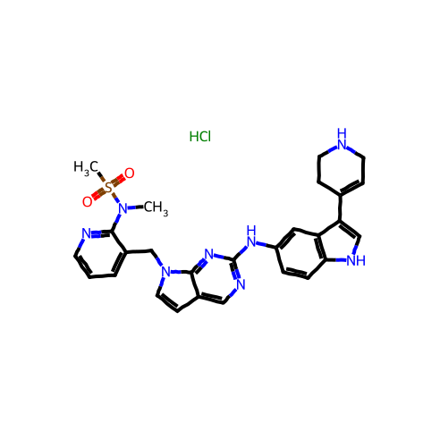 CN(c1ncccc1Cn1ccc2cnc(Nc3ccc4[nH]cc(C5=CCNCC5)c4c3)nc21)S(C)(=O)=O.Cl